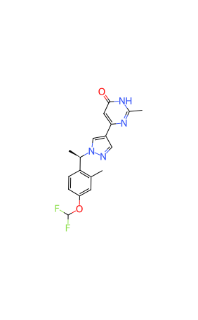 Cc1nc(-c2cnn([C@H](C)c3ccc(OC(F)F)cc3C)c2)cc(=O)[nH]1